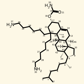 CC(C)CCC[C@@H](C)[C@H]1CC[C@H]2[C@@H]3CC=C4C[C@@H](OC(N)=O)CC(CCCCCCN)(CCCCCCN)[C@]4(C)[C@H]3CC[C@]12C